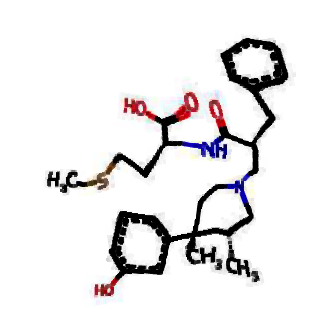 CSCC[C@H](NC(=O)[C@@H](Cc1ccccc1)CN1CC[C@@](C)(c2cccc(O)c2)[C@@H](C)C1)C(=O)O